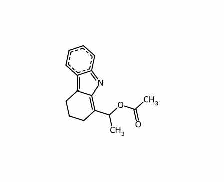 CC(=O)OC(C)C1=C2N=c3ccccc3=C2CCC1